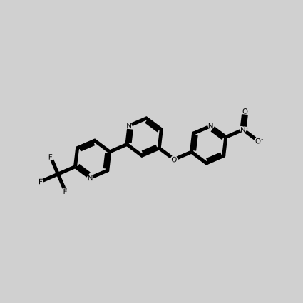 O=[N+]([O-])c1ccc(Oc2ccnc(-c3ccc(C(F)(F)F)nc3)c2)cn1